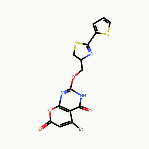 CCc1cc(=O)oc2nc(OCC3CSC(c4cccs4)=N3)[nH]c(=O)c12